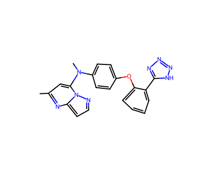 Cc1cc(N(C)c2ccc(Oc3ccccc3-c3nnn[nH]3)cc2)n2nccc2n1